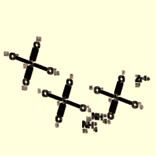 O=S(=O)([O-])[O-].O=S(=O)([O-])[O-].O=S(=O)([O-])[O-].[NH4+].[NH4+].[Zr+4]